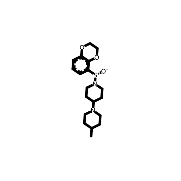 CC1CCN(C2CCN([S+]([O-])c3cccc4c3OCCO4)CC2)CC1